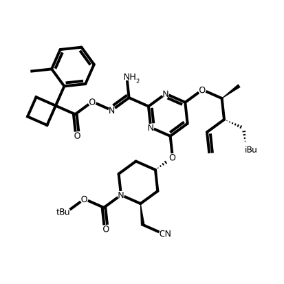 C=C[C@@H](C[C@@H](C)CC)[C@H](C)Oc1cc(O[C@H]2CCN(C(=O)OC(C)(C)C)[C@H](CC#N)C2)nc(/C(N)=N/OC(=O)C2(c3ccccc3C)CCC2)n1